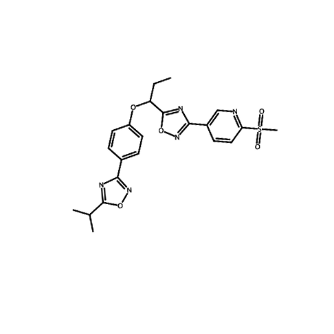 CCC(Oc1ccc(-c2noc(C(C)C)n2)cc1)c1nc(-c2ccc(S(C)(=O)=O)nc2)no1